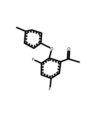 CC(=O)c1cc(F)cc(F)c1Oc1ccc(C)cc1